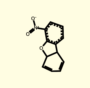 O=[N+]([O-])c1cccc2c1OC1C=CC=CC21